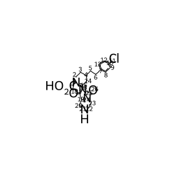 O=C(O)N1CCC(CCc2ccc(Cl)cc2)CC1N1C(=O)C2CNCCN2C1=O